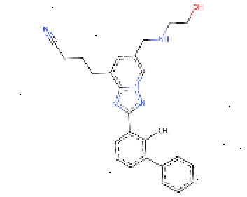 Cc1c(-c2ccccc2)cccc1-c1nc2c(CCCC#N)cc(CNCCO)cn2n1